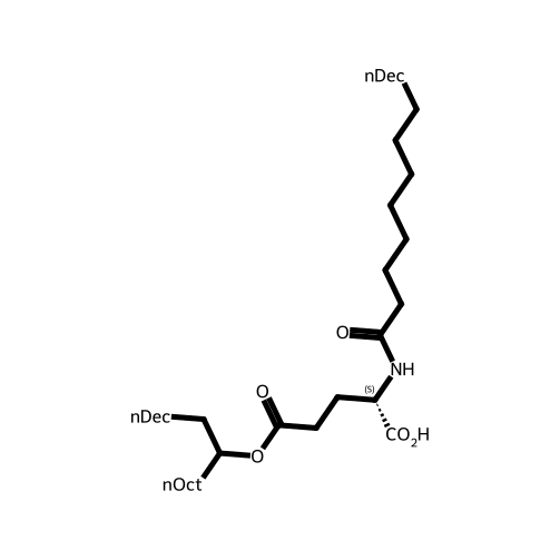 CCCCCCCCCCCCCCCCCC(=O)N[C@@H](CCC(=O)OC(CCCCCCCC)CCCCCCCCCCC)C(=O)O